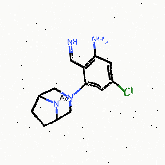 CC(=O)N1C2CCC1CN(c1cc(Cl)cc(N)c1C=N)C2